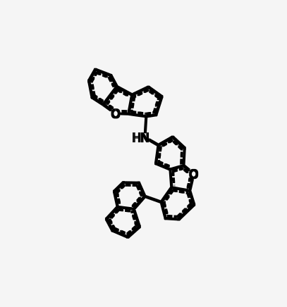 c1ccc2c(-c3cccc4oc5ccc(Nc6cccc7c6oc6ccccc67)cc5c34)cccc2c1